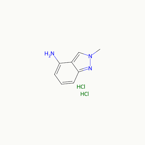 Cl.Cl.Cn1cc2c(N)cccc2n1